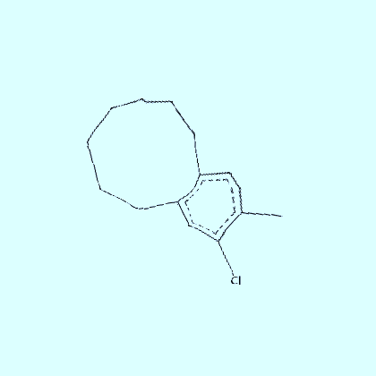 Cc1cc2c(cc1Cl)CCCCCCC2